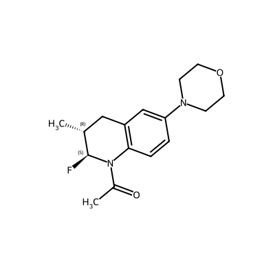 CC(=O)N1c2ccc(N3CCOCC3)cc2C[C@@H](C)[C@@H]1F